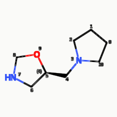 C1CCN(C[C@H]2CNCO2)C1